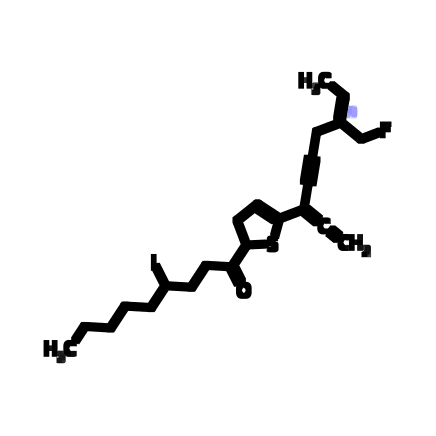 C=C=C(C#CC/C(=C\C)CF)C1=CCC(C(=O)CCC(I)CCCCC)S1